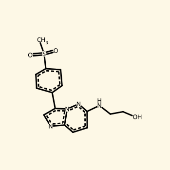 CS(=O)(=O)c1ccc(-c2cnc3ccc(NCCO)nn23)cc1